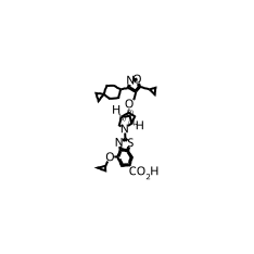 O=C(O)c1cc(OC2CC2)c2nc(N3C[C@@H]4C[C@H]3C[C@H]4OCc3c(C4CCC5(CC4)CC5)noc3C3CC3)sc2c1